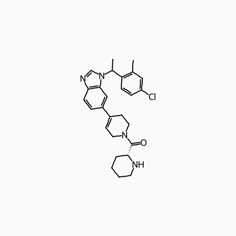 Cc1cc(Cl)ccc1C(C)n1cnc2ccc(C3=CCN(C(=O)[C@H]4CCCCN4)CC3)cc21